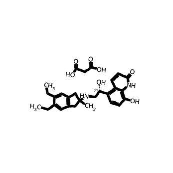 CCc1cc2c(cc1CC)CC(C)(NC[C@H](O)c1ccc(O)c3[nH]c(=O)ccc13)C2.O=C(O)CC(=O)O